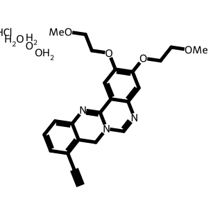 C#Cc1cccc2c1CN1C=Nc3cc(OCCOC)c(OCCOC)cc3C1=N2.Cl.O.O.O